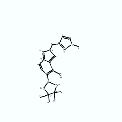 Cn1ccc(Cn2cc3c(Cl)c(B4OC(C)(C)C(C)(C)O4)ccc3n2)n1